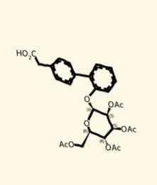 CC(=O)OC[C@H]1O[C@@H](Oc2ccccc2-c2ccc(CC(=O)O)cc2)[C@@H](OC(C)=O)[C@@H](OC(C)=O)[C@@H]1OC(C)=O